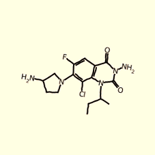 CCC(C)n1c(=O)n(N)c(=O)c2cc(F)c(N3CCC(N)C3)c(Cl)c21